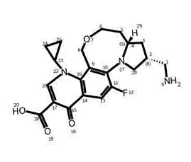 NC[C@H]1C[C@H]2CCOCc3c(c(F)cc4c(=O)c(C(=O)O)cn(C5CC5)c34)N2C1